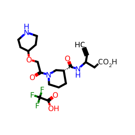 C#CC(CC(=O)O)NC(=O)[C@@H]1CCCN(C(=O)COC2CCNCC2)C1.O=C(O)C(F)(F)F